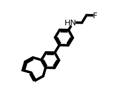 FCCNc1ccc(-c2ccc3c(c2)C=C=C/C=C/C3)cc1